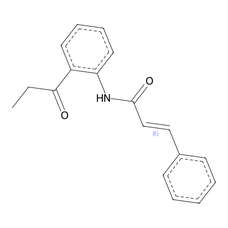 CCC(=O)c1ccccc1NC(=O)/C=C/c1ccccc1